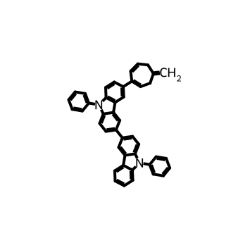 C=C1CC=CC(c2ccc3c(c2)c2cc(-c4ccc5c(c4)c4ccccc4n5-c4ccccc4)ccc2n3-c2ccccc2)=CC1